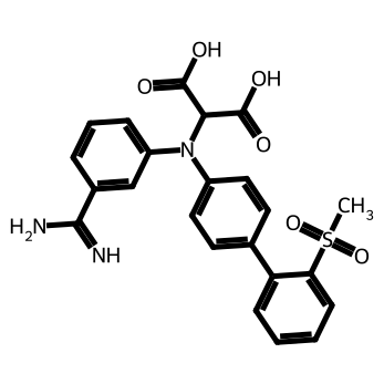 CS(=O)(=O)c1ccccc1-c1ccc(N(c2cccc(C(=N)N)c2)C(C(=O)O)C(=O)O)cc1